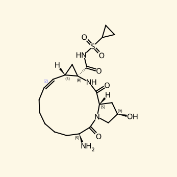 N[C@H]1CCCCC/C=C\[C@@H]2C[C@@]2(C(=O)NS(=O)(=O)C2CC2)NC(=O)[C@@H]2C[C@@H](O)CN2C1=O